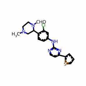 CN1CCN(C=O)C(c2ccc(Nc3nccc(-c4cccs4)n3)cc2Cl)C1